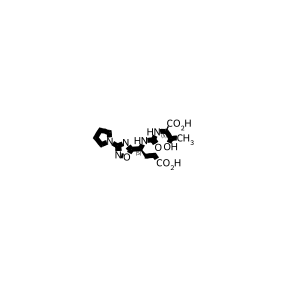 CC(O)[C@H](NC(=O)N[C@@H](CCC(=O)O)c1nc(N2CCCC2)no1)C(=O)O